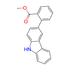 COC(=O)c1ccccc1-c1ccc2[nH]c3ccccc3c2c1